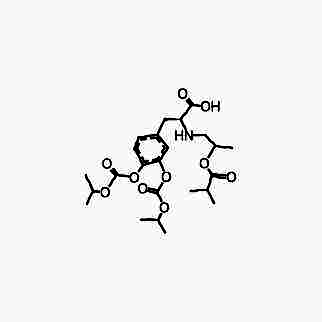 CC(C)OC(=O)Oc1ccc(C[C@H](NCC(C)OC(=O)C(C)C)C(=O)O)cc1OC(=O)OC(C)C